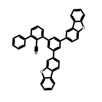 N#Cc1c(-c2ccccc2)cccc1-c1cc(-c2ccc3c(c2)oc2ccccc23)cc(-c2ccc3oc4ccccc4c3c2)c1